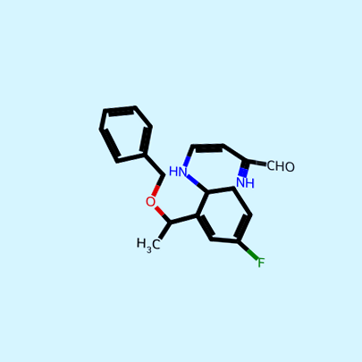 CC(OCc1ccccc1)C1=CC(F)=CCC1N/C=C\C(=N)C=O